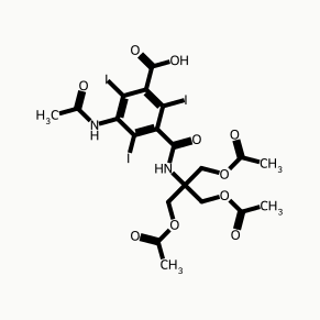 CC(=O)Nc1c(I)c(C(=O)O)c(I)c(C(=O)NC(COC(C)=O)(COC(C)=O)COC(C)=O)c1I